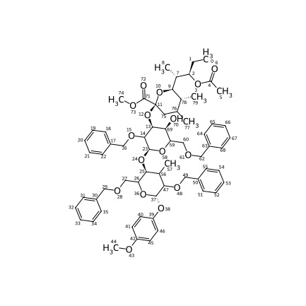 CC[C@@H](OC(C)=O)[C@@H](C)[C@@H]1O[C@@](O[C@@H]2C(OCc3ccccc3)[C@H](O[C@@H]3C(COCc4ccccc4)O[C@@H](Oc4ccc(OC)cc4)C(OCc4ccccc4)C3C)OC(COCc3ccccc3)[C@@H]2O)(C(=O)OC)CC(C)[C@H]1C